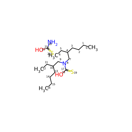 CCCCC(CC)CN(CC(CC)CCCC)C(O)=S.NC(O)=S